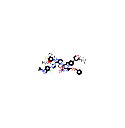 Cc1cc(-n2nc3c(c2N2C=CN(c4ccc5c(cnn5C5CC5)c4F)C2=C=O)[C@H](C)N(C(=O)c2cc4cc([C@H]5CCOC(C)(C)C5)ccc4n2[C@@]2(c4noc(=O)[nH]4)C[C@@H]2COCc2ccccc2)CC3)cc(C)c1F